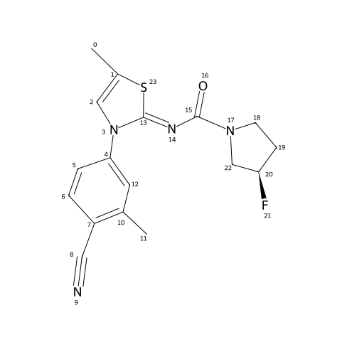 Cc1cn(-c2ccc(C#N)c(C)c2)c(=NC(=O)N2CC[C@@H](F)C2)s1